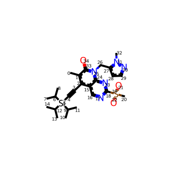 Cc1c(C#C[Si](C(C)C)(C(C)C)C(C)C)c2cnc(S(C)(=O)=O)nc2n(Cc2ccnn2C)c1=O